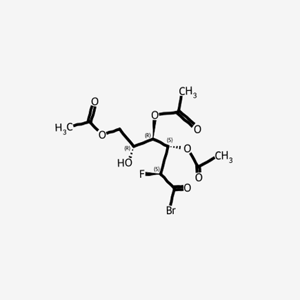 CC(=O)OC[C@@H](O)[C@@H](OC(C)=O)[C@H](OC(C)=O)[C@H](F)C(=O)Br